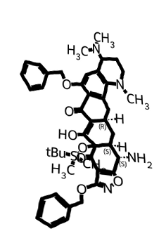 CN1CCC(N(C)C)c2cc(OCc3ccccc3)c3c(c21)C[C@H]1C[C@H]2[C@H](N)c4onc(OCc5ccccc5)c4C(=O)C2(O[Si](C)(C)C(C)(C)C)C(O)=C1C3=O